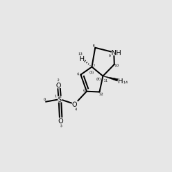 CS(=O)(=O)OC1=C[C@H]2CNC[C@@H]2C1